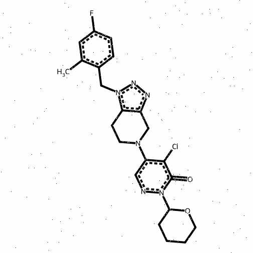 Cc1cc(F)ccc1Cn1nnc2c1CCN(c1cnn(C3CCCCO3)c(=O)c1Cl)C2